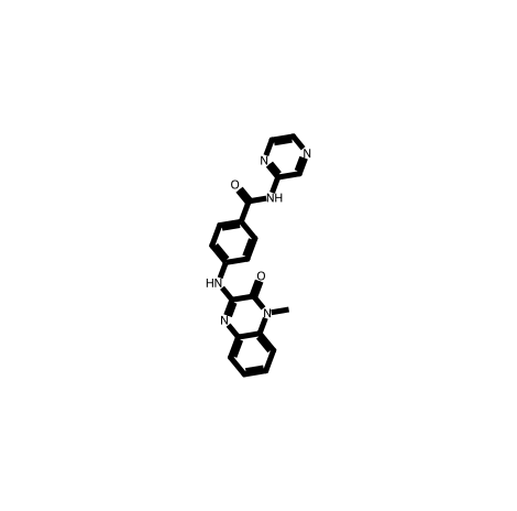 Cn1c(=O)c(Nc2ccc(C(=O)Nc3cnccn3)cc2)nc2ccccc21